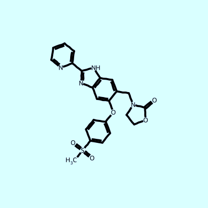 CS(=O)(=O)c1ccc(Oc2cc3nc(-c4ccccn4)[nH]c3cc2CN2CCOC2=O)cc1